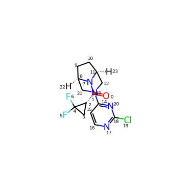 O=C([C@@H]1CC1(F)F)N1[C@@H]2CC[C@H]1CN(c1ccnc(Cl)n1)C2